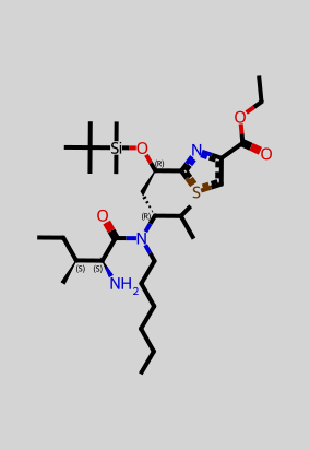 CCCCCCN(C(=O)[C@@H](N)[C@@H](C)CC)[C@H](C[C@@H](O[Si](C)(C)C(C)(C)C)c1nc(C(=O)OCC)cs1)C(C)C